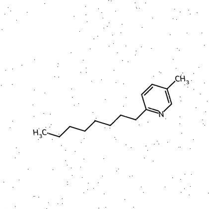 CCCCCCCCc1ccc(C)cn1